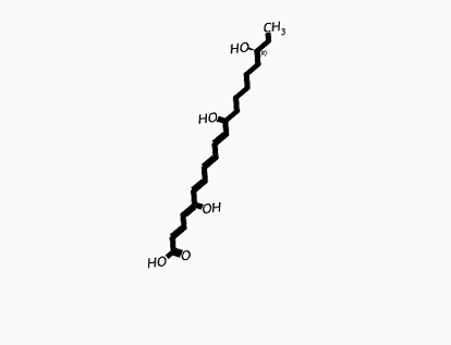 CC[C@@H](O)CCCCCC(O)C=CC=CC=CC(O)=CC=CC(=O)O